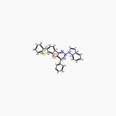 c1ccc(-c2nc(-n3ccc4ccccc43)nc3c2oc2c3ccc3c4ccccc4sc32)cc1